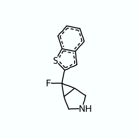 FC1(c2cc3ccccc3s2)C2CNCC21